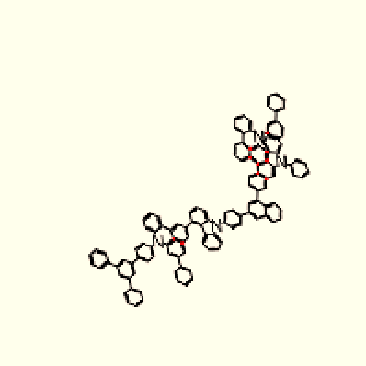 c1ccc(-c2cc(-c3ccccc3)cc(-c3ccc(N(c4cccc(-c5ccccc5)c4)c4ccccc4-c4cccc(-c5cccc6c5c5ccccc5n6-c5ccc(-c6cc(-c7ccc(-c8ccc(N(c9cccc(-c%10ccccc%10)c9)c9ccccc9-c9cccc(-c%10cccc%11c%10c%10ccccc%10n%11-c%10ccccc%10)c9)cc8)cc7)c7ccccc7c6)cc5)c4)cc3)c2)cc1